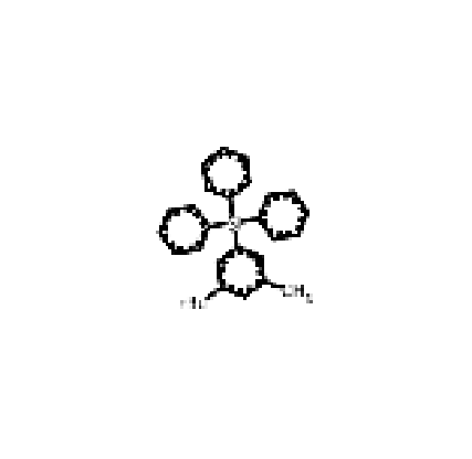 Cc1cc(C(C)(C)C)cc([Si](c2ccccc2)(c2ccccc2)c2ccccc2)c1